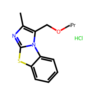 Cc1nc2sc3ccccc3n2c1COC(C)C.Cl